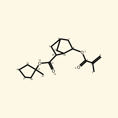 C=C(C)C(=O)OC1CC2CC(C(=O)OC3(C)CCCC3)C1C2